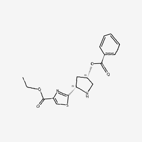 CCOC(=O)c1csc([C@@H]2C[C@H](OC(=O)c3ccccc3)CN2)n1